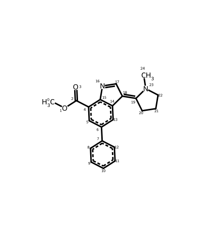 COC(=O)c1cc(-c2ccccc2)cc2c1N=C/C2=C1/CCCN1C